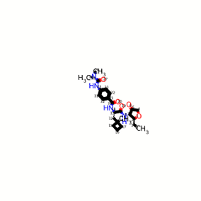 CC[C@@H]1OCC(=O)[C@H]1NC(=O)[C@H](CC1(C)CCC1)NC(=O)c1ccc(NC(=O)N(C)C)cc1